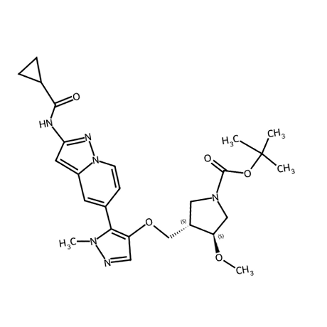 CO[C@@H]1CN(C(=O)OC(C)(C)C)C[C@H]1COc1cnn(C)c1-c1ccn2nc(NC(=O)C3CC3)cc2c1